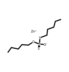 CCCCCOP([O-])(=S)SCCCCC.[Zn+]